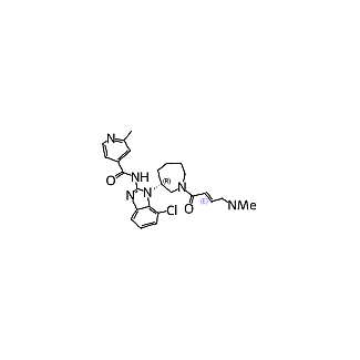 CNC/C=C/C(=O)N1CCCC[C@@H](n2c(NC(=O)c3ccnc(C)c3)nc3cccc(Cl)c32)C1